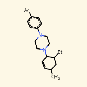 CCC1CC(C)C=CC1N1CCN(c2ccc(C(C)=O)cc2)CC1